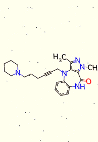 Cc1nn(C)c2c1N(CC#CCCCN1CCCCC1)c1ccccc1NC2=O